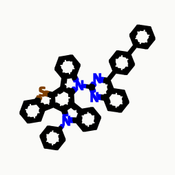 c1ccc(-c2ccc(-c3nc(-n4c5ccccc5c5c6sc7ccccc7c6c6c(c7ccccc7n6-c6ccccc6)c54)nc4ccccc34)cc2)cc1